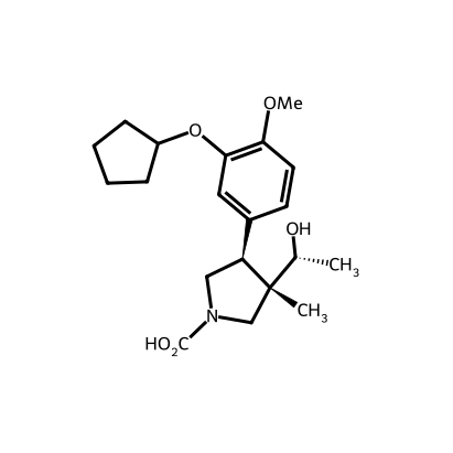 COc1ccc([C@@H]2CN(C(=O)O)C[C@@]2(C)[C@@H](C)O)cc1OC1CCCC1